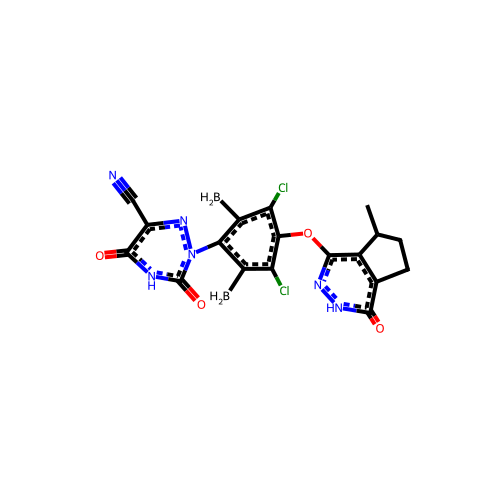 Bc1c(Cl)c(Oc2n[nH]c(=O)c3c2C(C)CC3)c(Cl)c(B)c1-n1nc(C#N)c(=O)[nH]c1=O